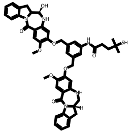 COc1cc2c(cc1OCc1cc(COc3cc4c(cc3OC)C(=O)N3c5ccccc5C[C@H]3CN4)cc(NC(=O)CCC(C)(C)S)c1)N[C@H](O)C1Cc3ccccc3N1C2=O